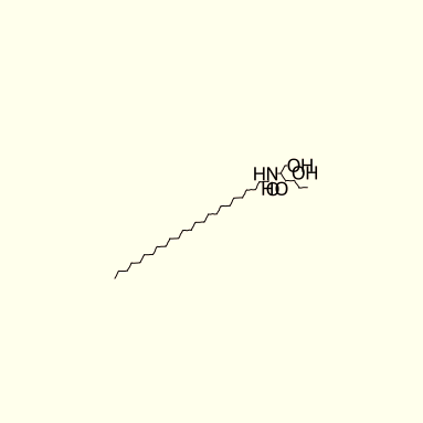 CCCCCCCCCCCCCCCCCCCCCCCCC(=O)NC(CO)C(O)C(O)CC